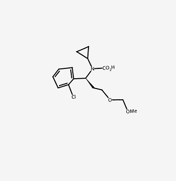 COCOCC[C@@H](c1ccccc1Cl)N(C(=O)O)C1CC1